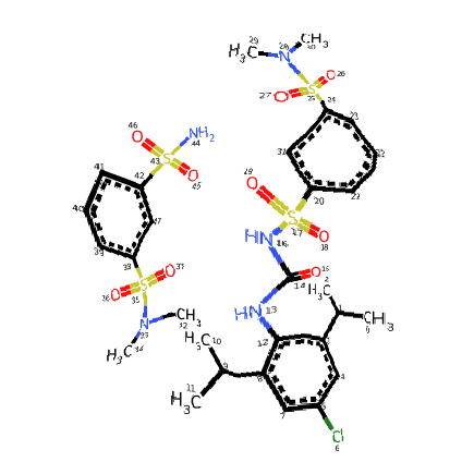 CC(C)c1cc(Cl)cc(C(C)C)c1NC(=O)NS(=O)(=O)c1cccc(S(=O)(=O)N(C)C)c1.CN(C)S(=O)(=O)c1cccc(S(N)(=O)=O)c1